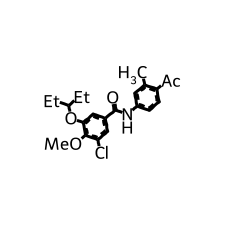 CCC(CC)Oc1cc(C(=O)Nc2ccc(C(C)=O)c(C)c2)cc(Cl)c1OC